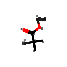 CCCCCOC(=O)C(C)(C)CC